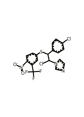 O=[N+]([O-])c1ccc(SC(c2ccc(Cl)cc2)C(Cl)n2ccnc2)cc1C(F)(F)F